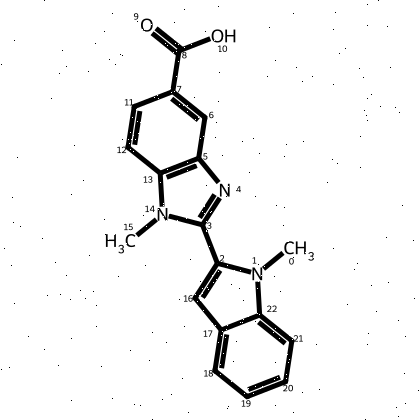 Cn1c(-c2nc3cc(C(=O)O)ccc3n2C)cc2ccccc21